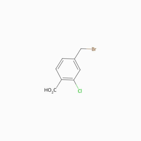 O=C(O)c1ccc(CBr)cc1Cl